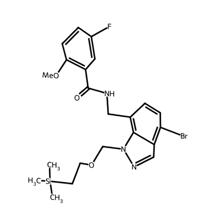 COc1ccc(F)cc1C(=O)NCc1ccc(Br)c2cnn(COCC[Si](C)(C)C)c12